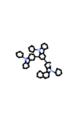 c1ccc(-n2c3ccccc3c3cc(-c4cc(-c5ccc6c(c5)c5c7ccccc7ccc5n6-c5ccccc5)cc5c6ccccc6n(-c6ccccc6)c45)ccc32)cc1